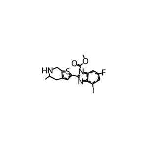 COC(=O)n1c(-c2cc3c(s2)CNC(C)C3)nc2c(I)cc(F)cc21